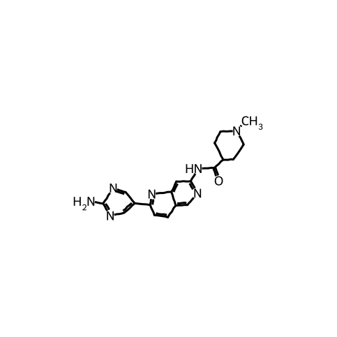 CN1CCC(C(=O)Nc2cc3nc(-c4cnc(N)nc4)ccc3cn2)CC1